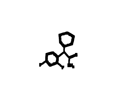 NC(=S)C(c1ccccc1)c1ccc(F)cc1F